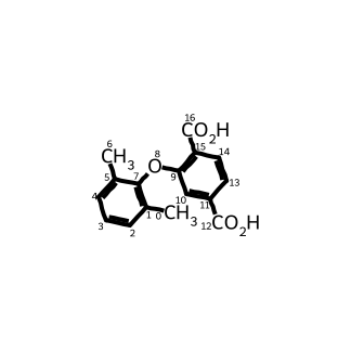 Cc1cccc(C)c1Oc1cc(C(=O)O)ccc1C(=O)O